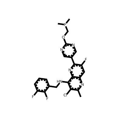 Cc1nc2cc(F)c(-c3cnc(OCP(C)C)nc3)nc2c(NCc2cccc(F)c2F)c1Cl